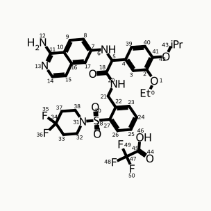 CCOc1cc(C(Nc2ccc3c(N)nccc3c2)C(=O)NCc2ccccc2S(=O)(=O)N2CCC(F)(F)CC2)ccc1OC(C)C.O=C(O)C(F)(F)F